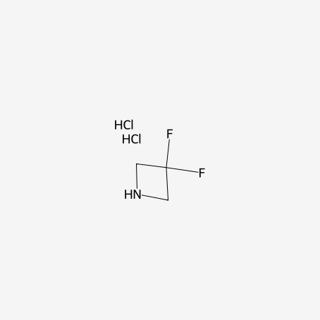 Cl.Cl.FC1(F)CNC1